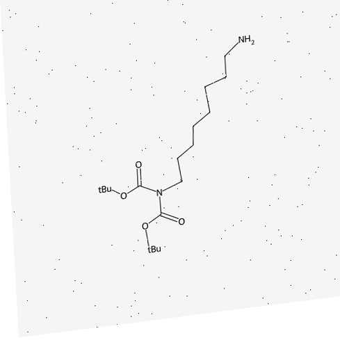 CC(C)(C)OC(=O)N(CCCCCCCCN)C(=O)OC(C)(C)C